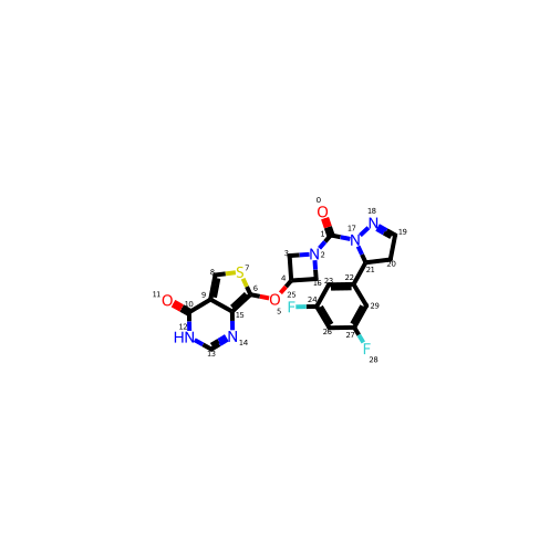 O=C(N1CC(Oc2scc3c(=O)[nH]cnc23)C1)N1N=CCC1c1cc(F)cc(F)c1